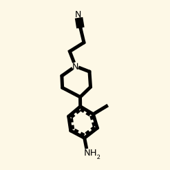 Cc1cc(N)ccc1C1CCN(CCC#N)CC1